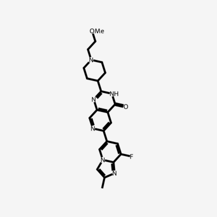 COCCN1CCC(c2nc3cnc(-c4cc(F)c5nc(C)cn5c4)cc3c(=O)[nH]2)CC1